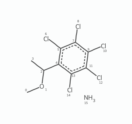 COC(C)c1c(Cl)c(Cl)c(Cl)c(Cl)c1Cl.N